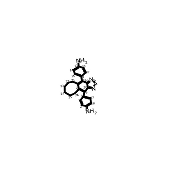 Nc1ccc(-c2c3c(c(-c4ccc(N)cc4)c4nsnc24)CCCCCC3)cc1